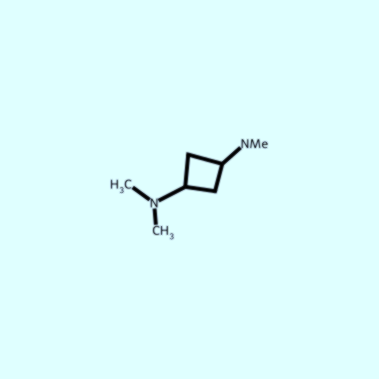 CNC1CC(N(C)C)C1